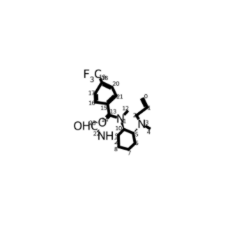 C=CCN(C)[C@@H]1CCCC[C@H]1N(C)C(=O)c1ccc(C(F)(F)F)cc1.NC=O